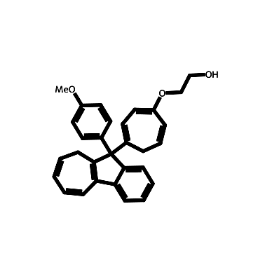 COc1ccc(C2(C3=CC=C(OCCO)C=CC3)C3=C(C=CC=CC3)c3ccccc32)cc1